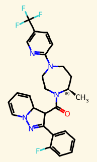 C[C@@H]1CCN(c2ccc(C(F)(F)F)cn2)CCN1C(=O)C1C(c2ccccc2F)=NN2C=CC=CC12